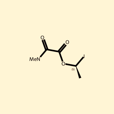 CNC(=O)C(=O)O[C@H](C)I